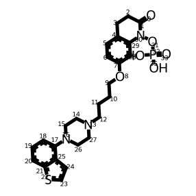 O=C1CCc2ccc(OCCCCN3CCN(c4cccc5sccc45)CC3)cc2N1OP(=O)(O)O